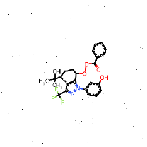 CC(C)(C)C1CCC(OOC(=O)c2ccccc2)c2c1c(C(F)(F)F)nn2-c1cccc(O)c1